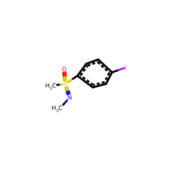 CN=S(C)(=O)c1ccc(I)cc1